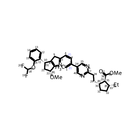 C/C=C(\C=C/C1=NC2=C(C1)[C@@H](c1ccccc1OC(F)F)C[C@H]2OC)c1cnc(CC[C@H]2CC[C@@H](CC)[C@@H]2C(=O)OC)nc1